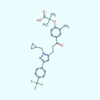 Cc1cc(C(=O)CCc2cc(-c3ccc(C(F)(F)F)cc3)nn2CC2CC2)ccc1OC(C)(C)C(=O)O